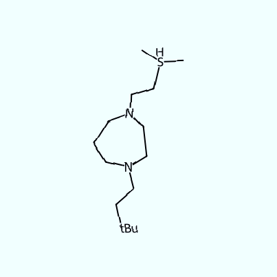 C[SH](C)CCN1CCCN(CCC(C)(C)C)CC1